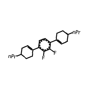 CCCC1CC=C(c2ccc(C3=CCC(CCC)CC3)c(F)c2F)CC1